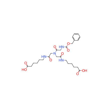 O=C(O)CCCCCNC(=O)CN(CC(=O)NCCCCCC(=O)O)C(=O)CNC(=O)OCc1ccccc1